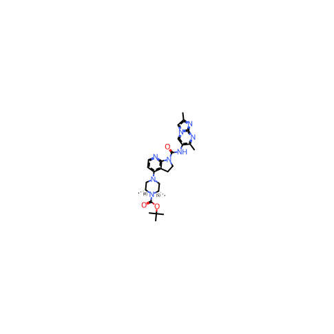 Cc1cn2cc(NC(=O)N3CCc4c(N5C[C@@H](C)N(C(=O)OC(C)(C)C)[C@@H](C)C5)ccnc43)c(C)nc2n1